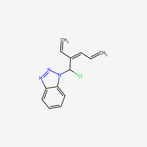 C=C/C=C(/C=C)C(Cl)n1nnc2ccccc21